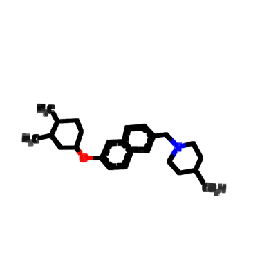 CC1CCC(Oc2ccc3cc(CN4CCC(C(=O)O)CC4)ccc3c2)CC1C